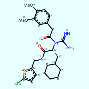 COc1ccc(CC(=O)N(C(=N)N)[C@H](CC2CCCCC2)C(=O)NCc2ccc(Cl)s2)cc1OC